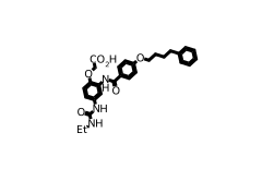 CCNC(=O)Nc1ccc(OCC(=O)O)c(NC(=O)c2ccc(OCCCCc3ccccc3)cc2)c1